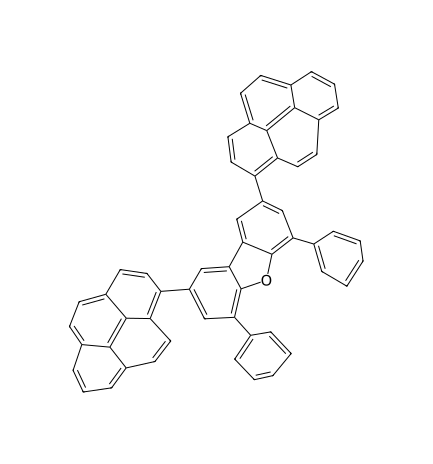 c1ccc(-c2cc(-c3ccc4ccc5cccc6ccc3c4c56)cc3c2oc2c(-c4ccccc4)cc(-c4ccc5ccc6cccc7ccc4c5c67)cc23)cc1